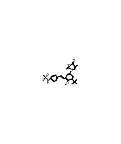 COc1c(C=Cc2ccc(NS(C)(=O)=O)cc2)cc(-n2cc(F)c(=O)[nH]c2=O)cc1C(C)(C)C